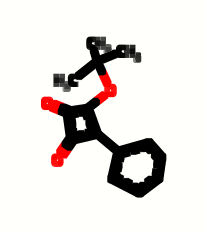 CC(C)(C)Oc1c(-c2ccccc2)c(=O)c1=O